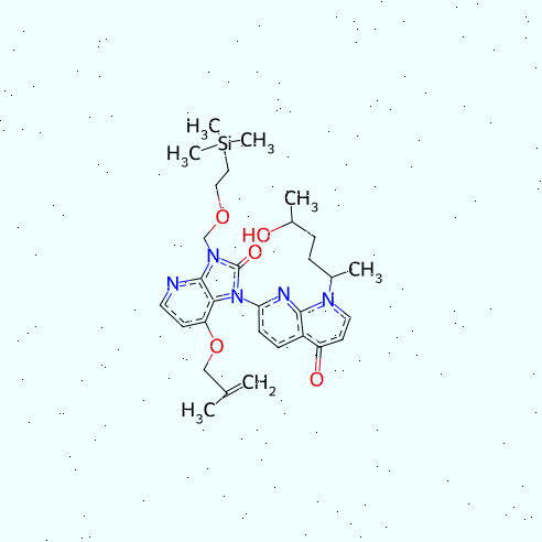 C=C(C)COc1ccnc2c1n(-c1ccc3c(=O)ccn(C(C)CCC(C)O)c3n1)c(=O)n2COCC[Si](C)(C)C